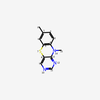 Cc1ccc2c(c1)Sc1cncnc1N2C